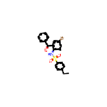 CCc1ccc(S(=O)(=O)Nc2ccc(Br)cc2C(=O)c2ccccc2)cc1